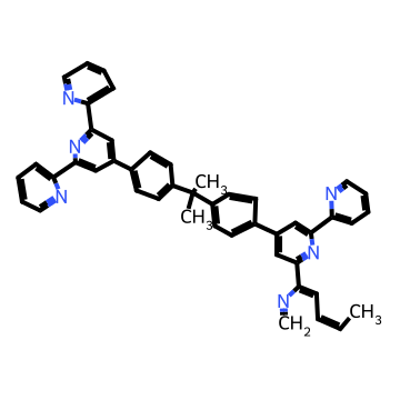 C=N/C(=C\C=C/C)c1cc(-c2ccc(C(C)(C)c3ccc(-c4cc(-c5ccccn5)nc(-c5ccccn5)c4)cc3)cc2)cc(-c2ccccn2)n1